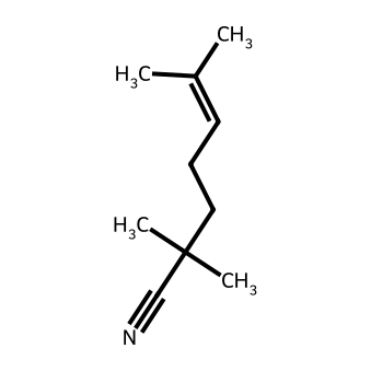 CC(C)=CCCC(C)(C)C#N